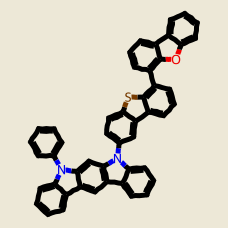 c1ccc(-n2c3ccccc3c3cc4c5ccccc5n(-c5ccc6sc7c(-c8cccc9c8oc8ccccc89)cccc7c6c5)c4cc32)cc1